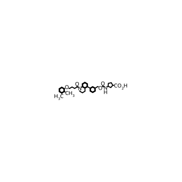 Cc1cccc(OCCCC(=O)N2CCCc3c(-c4cccc(COC(=O)NC5CCC(C(=O)O)C5)c4)cccc32)c1C